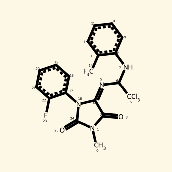 CN1C(=O)C(=NC(Nc2ccccc2C(F)(F)F)C(Cl)(Cl)Cl)N(c2ccccc2F)C1=O